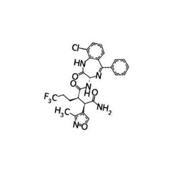 Cc1nocc1[C@H](C(N)=O)[C@@H](CCC(F)(F)F)C(=O)N[C@H]1N=C(c2ccccc2)c2cccc(Cl)c2NC1=O